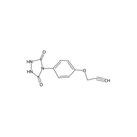 C#CCOc1ccc(-n2c(=O)[nH][nH]c2=O)cc1